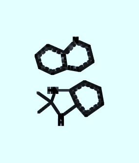 CC1(C)Nc2ccccc2N1.c1ccc2ncccc2c1